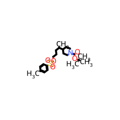 Cc1ccc(S(=O)(=O)OCCCC(C)C2CCN(C(=O)OC(C)(C)C)CC2)cc1